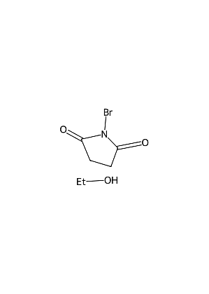 CCO.O=C1CCC(=O)N1Br